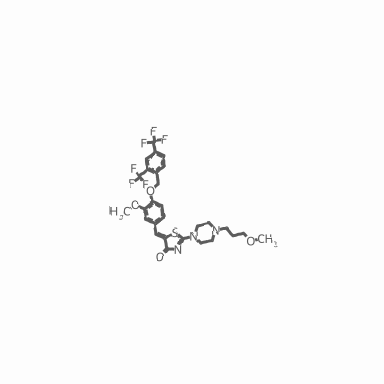 COCCCN1CCN(C2=NC(=O)C(=Cc3ccc(OCc4ccc(C(F)(F)F)cc4C(F)(F)F)c(OC)c3)S2)CC1